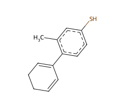 Cc1cc(S)ccc1C1=CCCC=C1